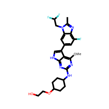 COc1nc(NC2CCC(OCCO)CC2)nc2[nH]cc(-c3cc(F)c4nc(C)n(CC(F)F)c4c3)c12